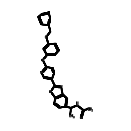 CC(=O)NC(C)c1ccc2oc(-c3ccc(Oc4cccc(OCc5ccccc5)c4)nc3)nc2c1